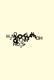 CS(=O)(=O)O.NC(=O)N(c1ccc(-c2csc3c(-c4cnn(CCO)c4)cnc(N)c23)cc1)c1cccc(F)c1